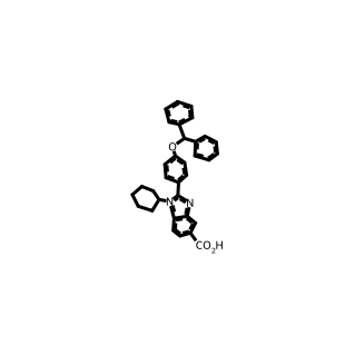 O=C(O)c1ccc2c(c1)nc(-c1ccc(OC(c3ccccc3)c3ccccc3)cc1)n2C1CCCCC1